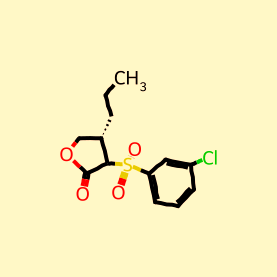 CCC[C@H]1COC(=O)C1S(=O)(=O)c1cccc(Cl)c1